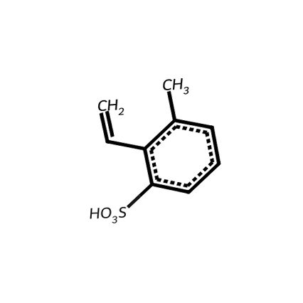 C=Cc1c(C)cccc1S(=O)(=O)O